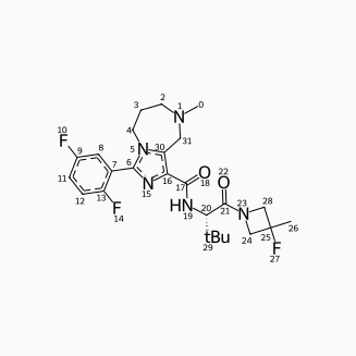 CN1CCCn2c(-c3cc(F)ccc3F)nc(C(=O)N[C@H](C(=O)N3CC(C)(F)C3)C(C)(C)C)c2C1